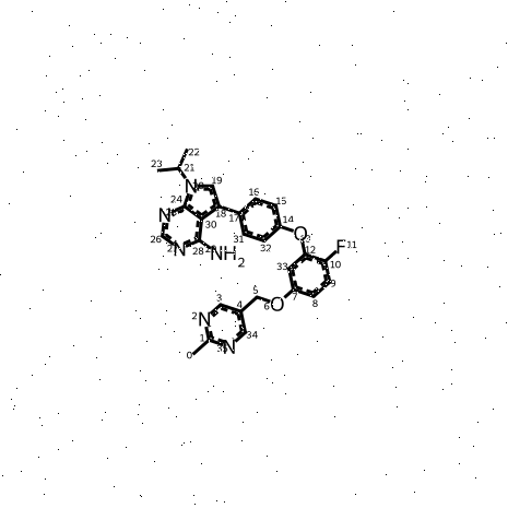 Cc1ncc(COc2ccc(F)c(Oc3ccc(-c4cn(C(C)C)c5ncnc(N)c45)cc3)c2)cn1